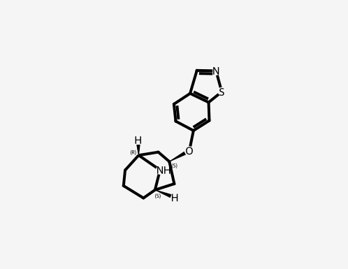 c1cc2cnsc2cc1O[C@@H]1C[C@H]2CCC[C@@H](C1)N2